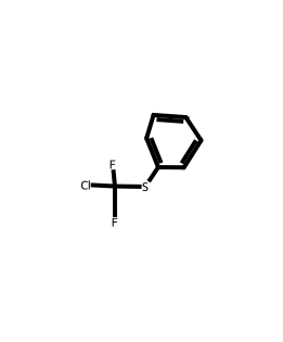 FC(F)(Cl)Sc1cc[c]cc1